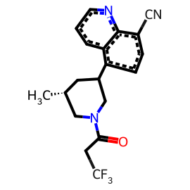 C[C@@H]1CC(c2ccc(C#N)c3ncccc23)CN(C(=O)CC(F)(F)F)C1